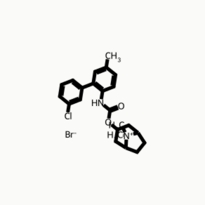 Cc1ccc(NC(=O)OC2CC3CCC(C2)[N+]3(C)C)c(-c2cccc(Cl)c2)c1.[Br-]